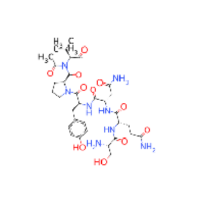 CC(=O)N(C(=O)[C@@H]1CCCN1C(=O)[C@H](Cc1ccc(O)cc1)NC(=O)[C@H](CC(N)=O)NC(=O)[C@H](CCC(N)=O)NC(=O)[C@@H](N)CO)[C@H]([C]=O)C(C)C